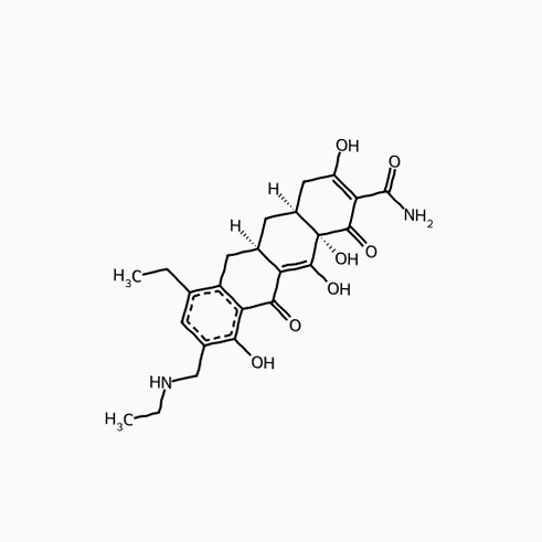 CCNCc1cc(CC)c2c(c1O)C(=O)C1=C(O)[C@]3(O)C(=O)C(C(N)=O)=C(O)C[C@@H]3C[C@@H]1C2